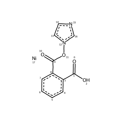 O=C(O)c1ccccc1C(=O)On1ccnc1.[Ni]